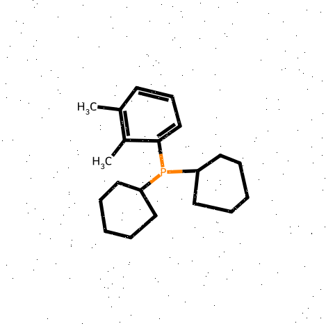 Cc1cccc(P(C2CCCCC2)C2CCCCC2)c1C